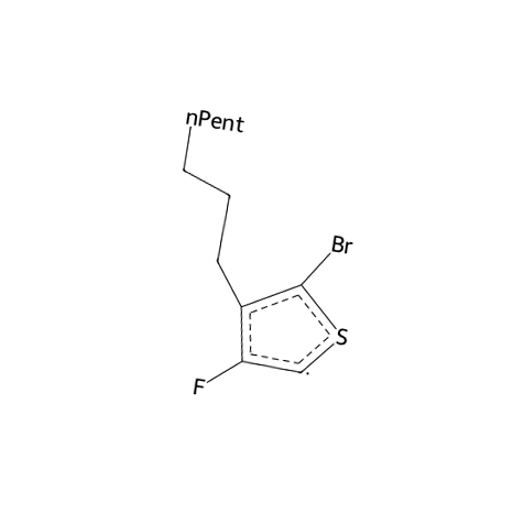 CCCCCCCCc1c(F)[c]sc1Br